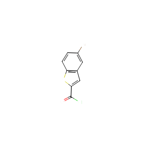 O=C(Cl)c1cc2cc(Br)ccc2s1